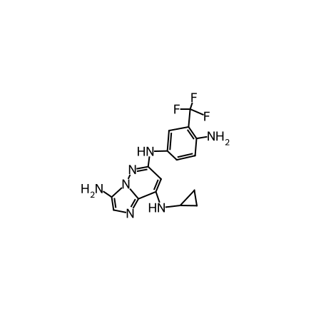 Nc1ccc(Nc2cc(NC3CC3)c3ncc(N)n3n2)cc1C(F)(F)F